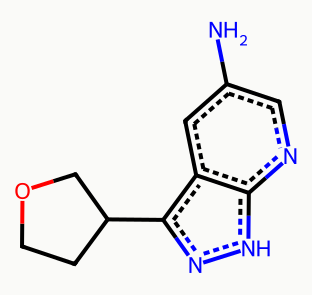 Nc1cnc2[nH]nc(C3CCOC3)c2c1